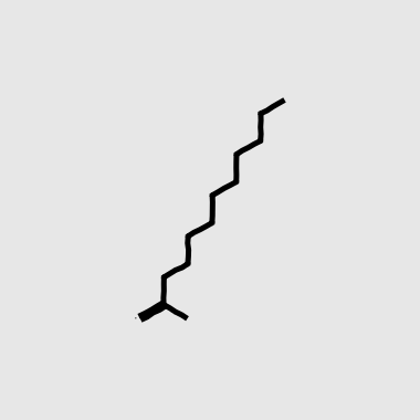 [CH]=C(C)CCCCCCCCCC